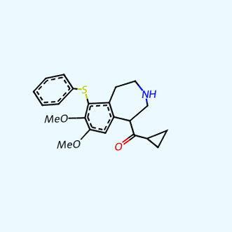 COc1cc2c(c(Sc3ccccc3)c1OC)CCNCC2C(=O)C1CC1